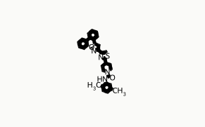 Cc1ccc(C)c(NC(=O)N2CCC(c3nc(C4=NOC(c5ccccc5-c5ccccc5)C4)cs3)CC2)c1